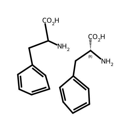 NC(Cc1ccccc1)C(=O)O.N[C@H](Cc1ccccc1)C(=O)O